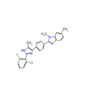 Cc1ccc2nc(-c3ccc(-c4nc(-c5c(F)cccc5Cl)[nH]c4C)cc3)n(C)c2c1